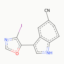 N#Cc1ccc2[nH]cc(-c3ocnc3I)c2c1